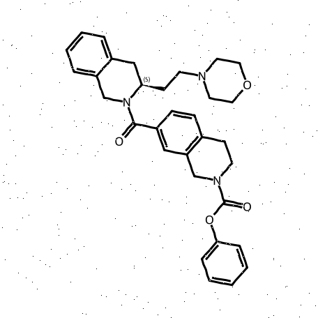 O=C(Oc1ccccc1)N1CCc2ccc(C(=O)N3Cc4ccccc4C[C@H]3CCN3CCOCC3)cc2C1